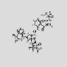 NC(=O)c1c(COC[C@@H]2CN(c3cc(F)c(F)c4ncsc34)CC23CN(C(=O)C2(C(F)(F)F)CC2)C3)cccc1C1CCC(F)(F)CC1